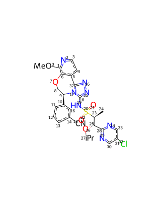 COc1nccc2c1OC[C@H](c1cccc(C#N)c1)n1c(NS(=O)(=O)[C@@H](C)[C@@H](OC(C)C)c3ncc(Cl)cn3)nnc1-2